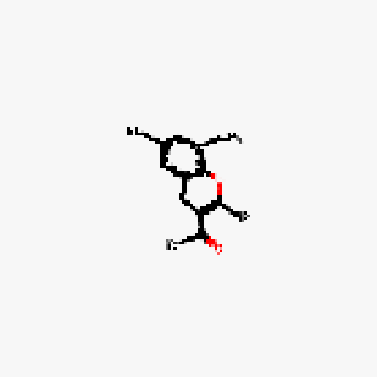 CCc1cc(C)c2c(c1)CC(C(=O)C(C)C)=C(C(C)C)O2